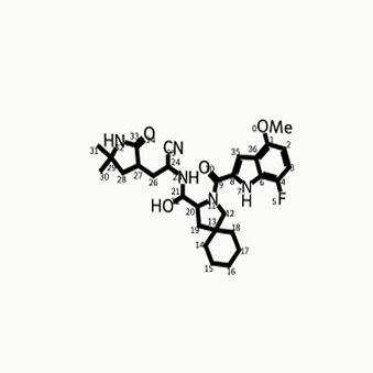 COc1ccc(F)c2[nH]c(C(=O)N3CC4(CCCCC4)CC3C(O)NC(C#N)CC3CC(C)(C)NC3=O)cc12